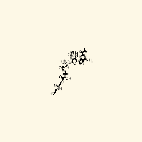 C=C(C)C(=O)c1nc(N)c2ncn([C@@H]3O[C@H](COP(=O)(O)OP(=O)(O)OCC(C)(C)[C@@H](O)C(=O)NCCC(=O)NCCS)[C@@H](OP(=O)(O)O)[C@H]3O)c2n1